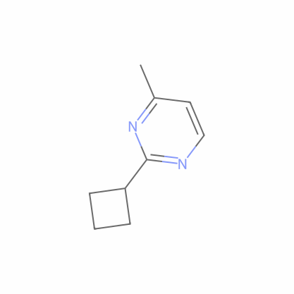 Cc1ccnc(C2CCC2)n1